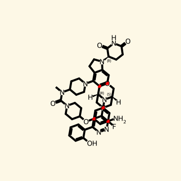 CN(C(=O)N1CCC(Oc2cc(F)cc(N3[C@@H]4COC[C@H]3CN(c3cc(-c5ccccc5O)nnc3N)C4)c2)CC1)C1CCN(c2cccc3c2CCN3[C@@H]2CCC(=O)NC2=O)CC1